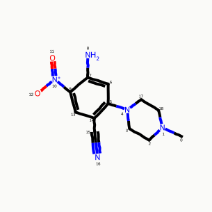 CN1CCN(c2cc(N)c([N+](=O)[O-])cc2C#N)CC1